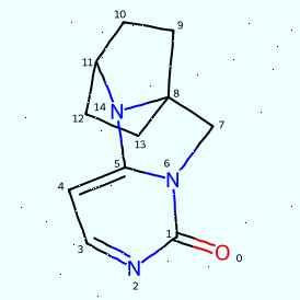 O=c1nccc2n1CC13CCC(CC1)N23